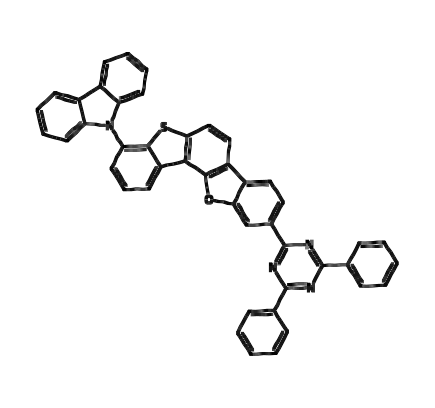 c1ccc(-c2nc(-c3ccccc3)nc(-c3ccc4c(c3)oc3c4ccc4sc5c(-n6c7ccccc7c7ccccc76)cccc5c43)n2)cc1